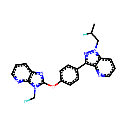 CC(F)Cn1nc(-c2ccc(Oc3nc4cccnc4n3CF)cc2)c2ncccc21